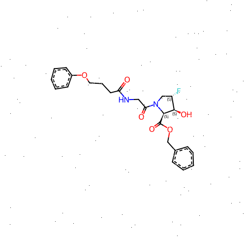 O=C(CCCOc1ccccc1)NCC(=O)N1C[C@H](F)[C@@H](O)[C@H]1C(=O)OCc1ccccc1